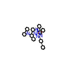 c1ccc(-c2ccc(-c3nc(-c4ccccc4)nc(-n4c5c(-n6c7ccccc7c7ccccc76)cccc5c5c(-n6c7ccccc7c7ccccc76)cc6ccccc6c54)n3)cc2)cc1